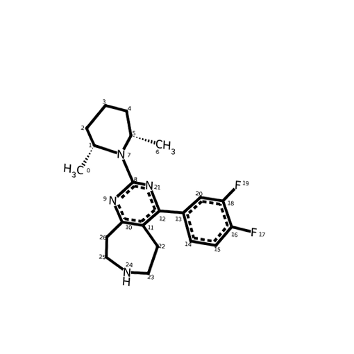 C[C@@H]1CCC[C@H](C)N1c1nc2c(c(-c3ccc(F)c(F)c3)n1)CCNCC2